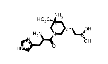 NC(Cc1c[nH]cn1)C(=O)N1C[C@@H](CCB(O)O)C[C@](N)(C(=O)O)C1